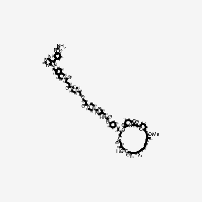 CO[C@H]1CC2CCCC(O2)C(=O)C(=O)N2CCCC[C@H]2C(=O)O[C@H](CC[C@H]2CC[C@H](OC(=O)NCc3cnc(N4CCN(C(=O)CCOCCN5CCN(C(=O)CCC(=O)N6CCc7cc(Cn8nc(-c9ccc%10oc(N)nc%10c9)c9c(N)ncnc98)ccc7C6)CC5)CC4)nc3)CC2)CC[C@H](C)/C=C(\C)[C@@H](O)CC(=O)[C@H](C)C[C@H](C)/C=C/C=C/C=C/1C